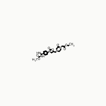 CCOC(=O)CN1CCN(CC2CN(c3ccc(C(=N)NC(=O)OC)cc3)C(=O)O2)CC1=O